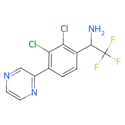 NC(c1ccc(-c2cnccn2)c(Cl)c1Cl)C(F)(F)F